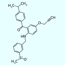 C#CCOc1ccc(NCc2cccc([S+](C)[O-])c2)c(C(=O)c2ccc(C(C)C)cc2)c1